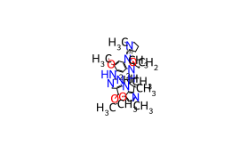 [2H]C1([2H])N(c2nc(Nc3cc(NC(=O)C=C)c(N(C)C[C@@H]4CCCN4C)cc3OC)ncc2C(=O)OC(C)C)c2ccc(C)nc2C1(C)C